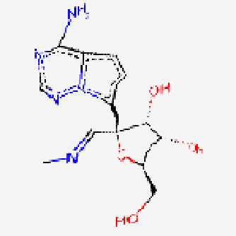 CN=C[C@@]1(c2ccc3c(N)ncnn23)O[C@H](CO)[C@@H](O)[C@H]1O